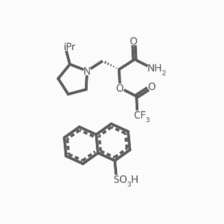 CC(C)C1CCCN1C[C@@H](OC(=O)C(F)(F)F)C(N)=O.O=S(=O)(O)c1cccc2ccccc12